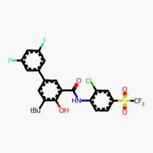 CC(C)(C)c1cc(-c2cc(F)cc(F)c2)cc(C(=O)Nc2ccc(S(=O)(=O)C(F)(F)F)cc2Cl)c1O